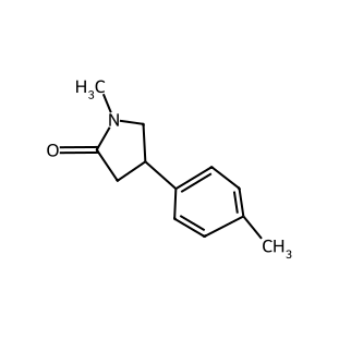 Cc1ccc(C2CC(=O)N(C)C2)cc1